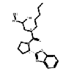 CCCCC[C@H](CC(O)NO)C(=O)N1CCC[C@H]1c1nc2ccccc2o1